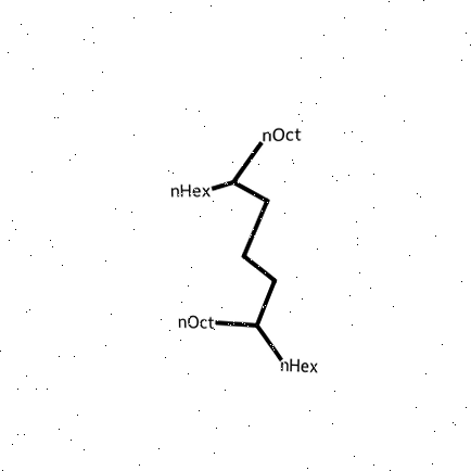 CCCCCCCCC(CCCCCC)CCCC(CCCCCC)CCCCCCCC